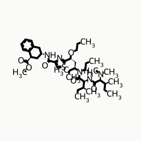 CCCO[C@H](C[C@H](C(C)C)N(CCC)C(=O)[C@@H](NC(=O)[C@H]([C@@H](C)CC)N(C)C)[C@@H](C)CC)c1nc(C(=O)N[C@H]2Cc3ccccc3[C@H](C(=O)OC)C2)cs1